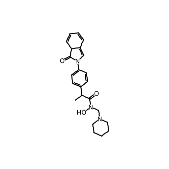 CC(C(=O)N(O)CN1CCCCC1)c1ccc(N2C=C3C=CC=CC3C2=O)cc1